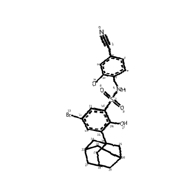 N#Cc1ccc(NS(=O)(=O)c2cc(Br)cc(C34CC5CC(CC(C5)C3)C4)c2O)c(Cl)c1